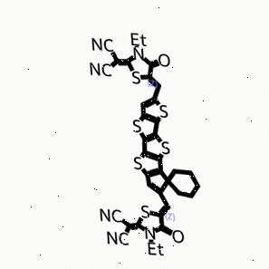 CCn1c(=C(C#N)C#N)s/c(=C\C2=Cc3sc4c(sc5c6sc(/C=c7\sc(=C(C#N)C#N)n(CC)c7=O)cc6sc45)c3C23CCCCC3)c1=O